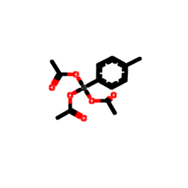 CC(=O)O[Si](OC(C)=O)(OC(C)=O)c1ccc(C)cc1